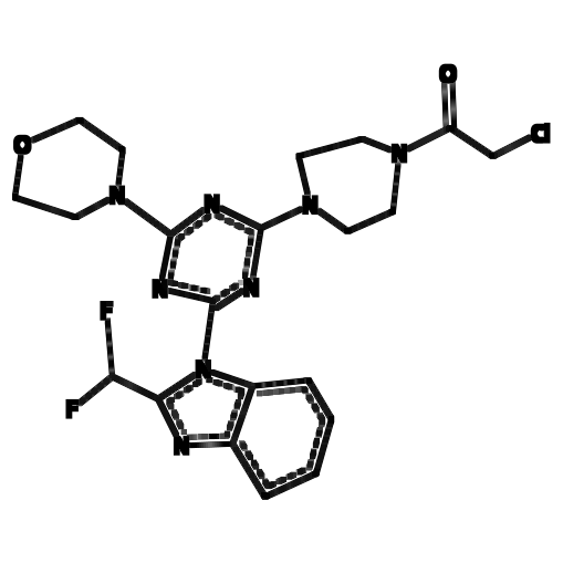 O=C(CCl)N1CCN(c2nc(N3CCOCC3)nc(-n3c(C(F)F)nc4ccccc43)n2)CC1